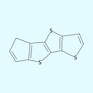 C1=Cc2sc3c(sc4ccsc43)c2C1